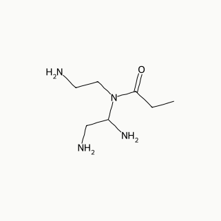 CCC(=O)N(CCN)C(N)CN